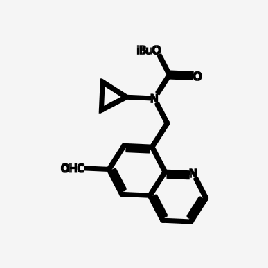 CC(C)COC(=O)N(Cc1cc(C=O)cc2cccnc12)C1CC1